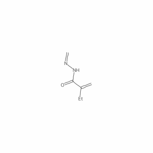 C=NNC(=O)C(=C)CC